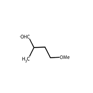 COCCC(C)[C]=O